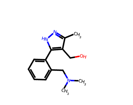 Cc1n[nH]c(-c2ccccc2CN(C)C)c1CO